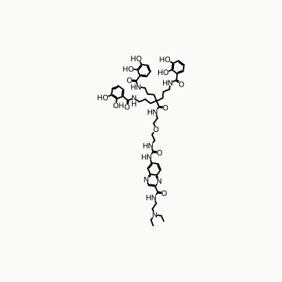 CCN(CC)CCNC(=O)c1cnc2cc(NC(=O)NCCOCCNC(=O)C(CCCNC(=O)c3cccc(O)c3O)(CCCNC(=O)c3cccc(O)c3O)CCCNC(=O)c3cccc(O)c3O)ccc2n1